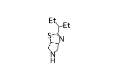 CCC(CC)C1=NC2CNCC2S1